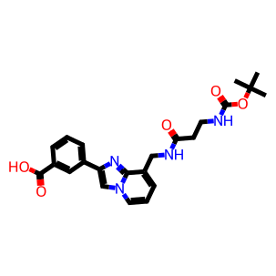 CC(C)(C)OC(=O)NCCC(=O)NCc1cccn2cc(-c3cccc(C(=O)O)c3)nc12